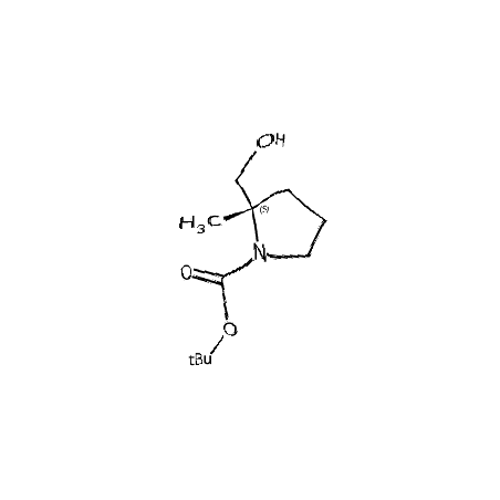 CC(C)(C)OC(=O)N1CCC[C@@]1(C)CO